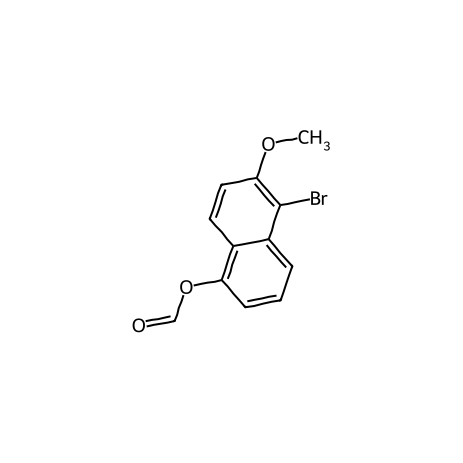 COc1ccc2c(OC=O)cccc2c1Br